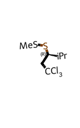 CSS[C@H](CC(Cl)(Cl)Cl)C(C)C